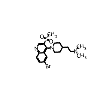 CN(C)CCC1CCN(c2c(S(C)(=O)=O)cnc3ccc(Br)cc23)CC1